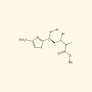 CCOC(=O)c1csc([C@H](CC(C(C)C)N(C)C(=O)OC(C)(C)C)OCC)n1